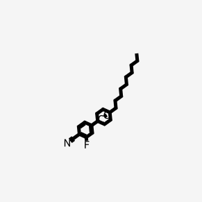 CCCCCCCCCCC12CCC(c3ccc(C#N)c(F)c3)(CC1)CC2